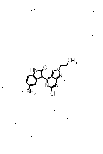 Bc1ccc2c(c1)C(c1nc(Cl)nc3nn(CCC)cc13)C(=O)N2